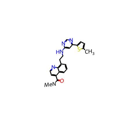 CNC(=O)c1ccnc2c(CCNc3cc(-c4ccc(C)s4)ncn3)cccc12